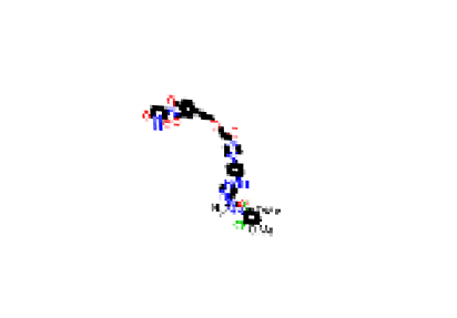 COc1cc(OC)c(Cl)c(NC(=O)N(C)c2cc(Nc3ccc(N4CCN(C(=O)CCOCC#Cc5ccc6c(c5)C(=O)N(C5CCC(=O)NC5=O)C6=O)CC4)cc3)ncn2)c1Cl